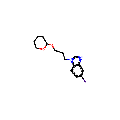 Ic1ccc2c(c1)ncn2CCCOC1CCCCO1